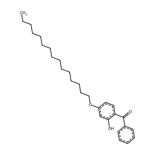 CCCCCCCCCCCCCCCOc1ccc(C(=O)c2ccccc2)c(O)c1